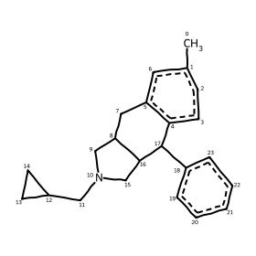 Cc1ccc2c(c1)CC1CN(CC3CC3)CC1C2c1ccccc1